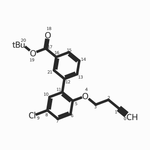 C#CCCOc1ccc(Cl)cc1-c1cccc(C(=O)OC(C)(C)C)c1